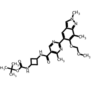 COCOc1c(-c2ncc(C(=O)NC3CC(NC(=O)OC(C)(C)C)C3)c(C)n2)cc2cn(C)nc2c1C